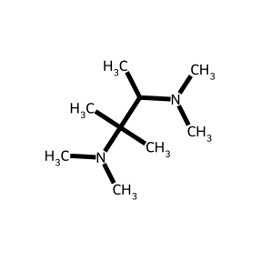 CC(N(C)C)C(C)(C)N(C)C